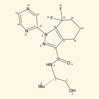 CC(C)(C)[C@@H](CO)NC(=O)c1nn(-c2cnccn2)c2c1CCCC2(F)F